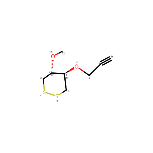 C#CCO[C@H]1CSSC[C@@H]1OC